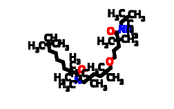 CN(CC(C)(C)CCC(C)(C)COCCCC(C)(C)C(=O)NCC(C)(C)C)C(=O)C(C)(C)CCCCCC(C)(C)C